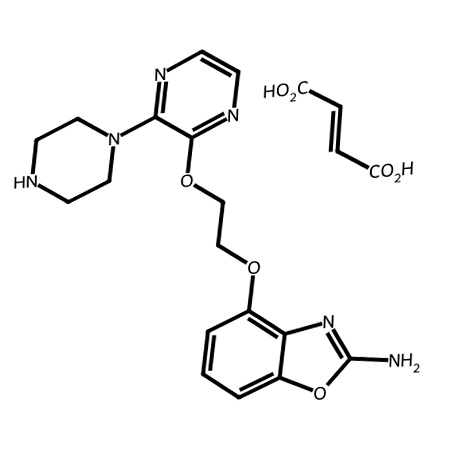 Nc1nc2c(OCCOc3nccnc3N3CCNCC3)cccc2o1.O=C(O)/C=C/C(=O)O